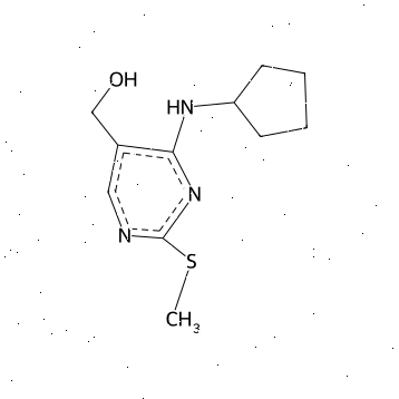 CSc1ncc(CO)c(NC2CCCC2)n1